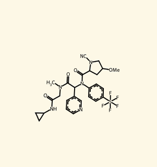 COC1CC(C(=O)N(c2ccc(S(F)(F)(F)(F)F)cc2)C(C(=O)N(C)CC(=O)NC2CC2)c2cccnc2)N(C#N)C1